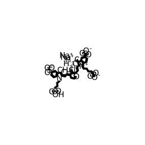 CC1(C)C(/C=C/C2=C(Cl)C(=C/C=C3/N(CCCCS(=O)(=O)O)c4ccc(S(=O)(=O)[O-])cc4C3(C)C)/CCO2)=[N+](CCCCS(=O)(=O)[O-])c2ccc(S(=O)(=O)[O-])cc21.[Na+].[Na+]